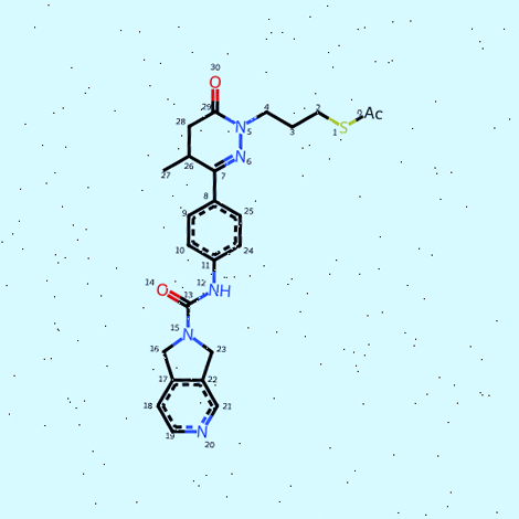 CC(=O)SCCCN1N=C(c2ccc(NC(=O)N3Cc4ccncc4C3)cc2)C(C)CC1=O